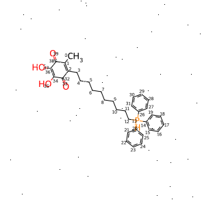 CC1=C(CCCCCCCCCC[PH](c2ccccc2)(c2ccccc2)c2ccccc2)C(=O)C(O)=C(O)C1=O